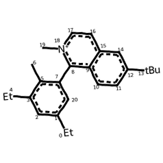 CCc1cc(CC)c(C)c(-c2c3ccc(C(C)(C)C)cc3cc[n+]2C)c1